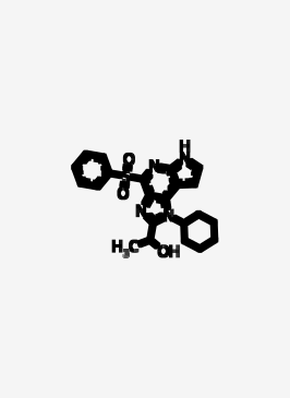 CC(O)c1nc2c(S(=O)(=O)c3ccccc3)nc3[nH]ccc3c2n1C1CCCCC1